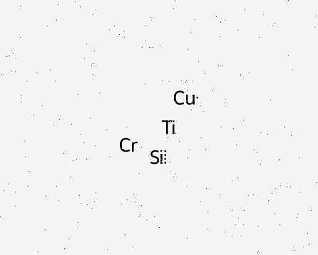 [Cr].[Cu].[Si].[Ti]